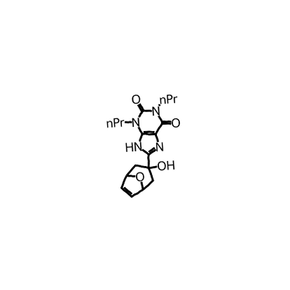 CCCn1c(=O)c2nc(C3(O)CC4C=CC(C3)O4)[nH]c2n(CCC)c1=O